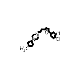 Cc1ccc(N2CCN(CCCc3ccc(-c4ccc(Cl)c(Cl)c4)o3)CC2)cc1